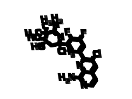 CC1(C)C(N)=N[C@@](C)(c2cc(-c3nc4c(N)nccc4cc3Cl)cc(F)c2F)CS1(O)O